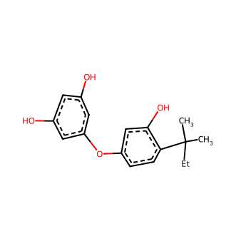 CCC(C)(C)c1ccc(Oc2cc(O)cc(O)c2)cc1O